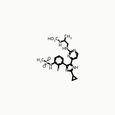 CC(CNc1nccc(-c2[nH]c(C3CC3)nc2-c2cccc(NS(C)(=O)=O)c2F)n1)NC(=O)O